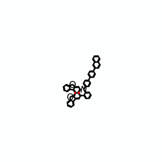 c1ccc(N(c2ccc(-c3ccc(-c4ccc5ccccc5c4)cc3)cc2)c2ccc3c(c2)oc2ccccc23)c(-c2ccc3oc4ccccc4c3c2)c1